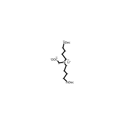 CCCCCCCCCCCCCCN(CCCCCCCCCCCCCC)CC(=O)[O-].[Li+]